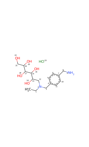 CCN(Cc1ccc(CN)cc1)CC(O)C(O)C(O)C(O)CO.Cl